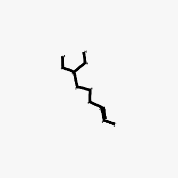 [CH2]C=CCCCC(C[CH2])CC